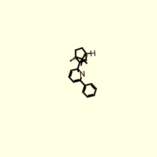 CC1(C)[C@H]2C=C(c3cccc(-c4ccccc4)n3)[C@]1(C)CC2